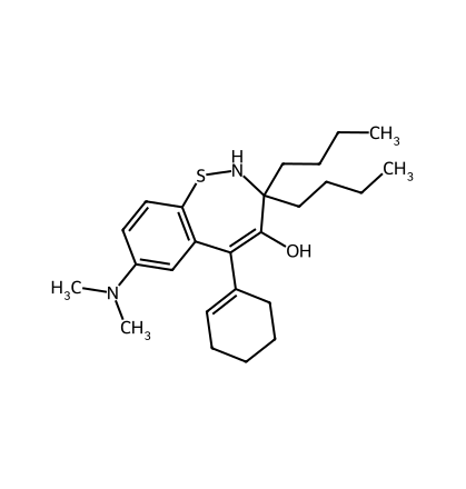 CCCCC1(CCCC)NSc2ccc(N(C)C)cc2C(C2=CCCCC2)=C1O